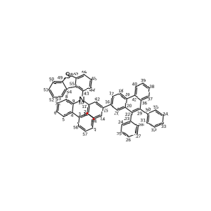 c1ccc(-c2ccccc2N(c2cccc(-c3ccc4c(c3)c(-c3ccccc3)c(-c3ccccc3)c3ccccc34)c2)c2cccc3sc4ccccc4c23)cc1